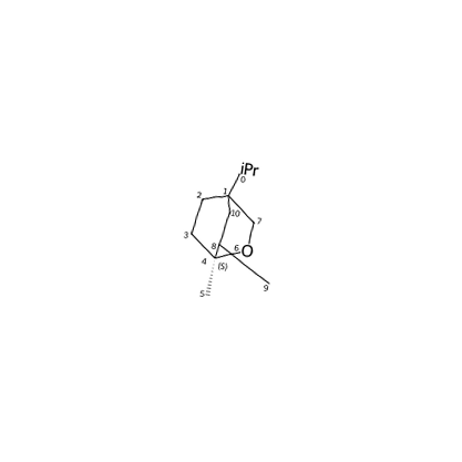 CC(C)C12CC[C@](C)(OC1)C(C)C2